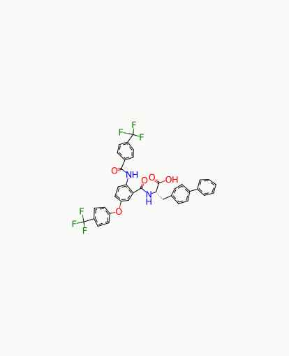 O=C(Nc1ccc(Oc2ccc(C(F)(F)F)cc2)cc1C(=O)N[C@@H](Cc1ccc(-c2ccccc2)cc1)C(=O)O)c1ccc(C(F)(F)F)cc1